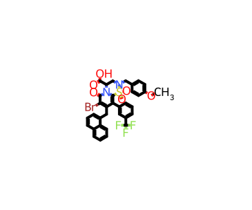 COc1ccc(CN2CC(C(=O)O)n3c(c(-c4cccc(C(F)(F)F)c4)c(Cc4cccc5ccccc45)c(Br)c3=O)S2(=O)=O)cc1